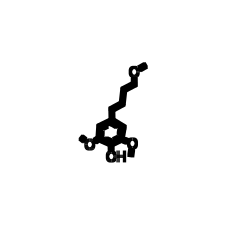 COCCCCc1cc(OC)c(O)c(OC)c1